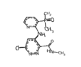 CNC(=O)c1nnc(Cl)cc1Nc1ncccc1P(C)(C)=O